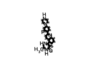 C[C@@H]1CNc2c(sc3ccc4nc(-c5ccc(N6CCNCC6)cc5F)ccc4c23)C(=O)N1